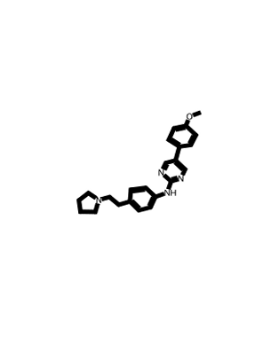 COc1ccc(-c2cnc(Nc3ccc(CCN4CCCC4)cc3)nc2)cc1